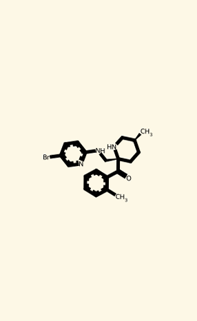 Cc1ccccc1C(=O)[C@@]1(CNc2ccc(Br)cn2)CC[C@H](C)CN1